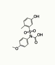 COc1ccc(N(C(=O)O)S(=O)(=O)c2cc(O)ccc2C)cc1